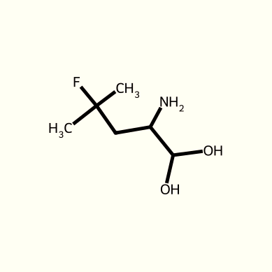 CC(C)(F)CC(N)C(O)O